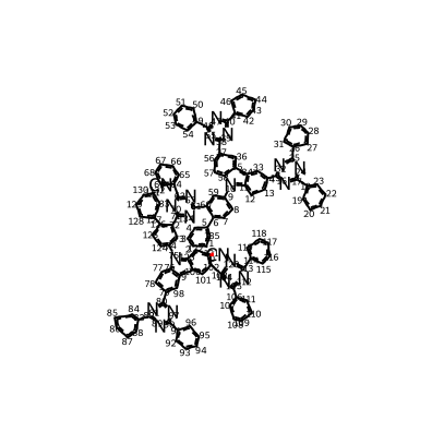 N#Cc1cccc(-c2ccc(-n3c4ccc(-c5nc(-c6ccccc6)nc(-c6ccccc6)n5)cc4c4cc(-c5nc(-c6ccccc6)nc(-c6ccccc6)n5)ccc43)cc2-c2nc(-c3ccccc3)nc(-c3cc(-n4c5ccc(-c6nc(-c7ccccc7)nc(-c7ccccc7)n6)cc5c5cc(-c6nc(-c7ccccc7)nc(-c7ccccc7)n6)ccc54)ccc3-c3cccc(C#N)c3)n2)c1